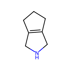 C1CC2=C(C1)CNC2